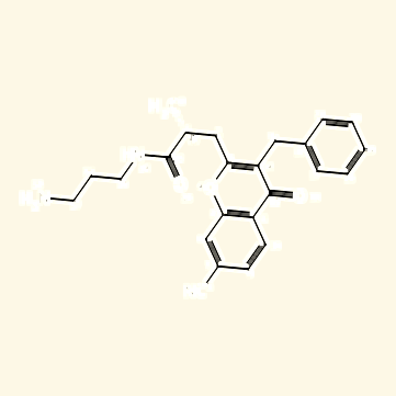 C[C@H]([CH]c1oc2cc(C#N)ccc2c(=O)c1Cc1ccccc1)C(=O)NCCCN